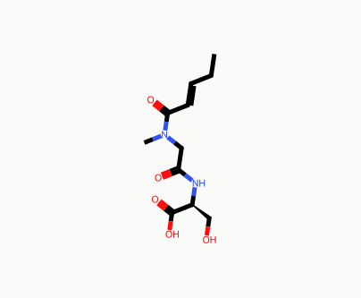 CCC=CC(=O)N(C)CC(=O)N[C@@H](CO)C(=O)O